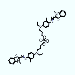 CCN(CCCOS(=O)(=O)OCCCN(CC)c1ccc(/N=N/c2sc3ccccc3[n+]2C)c(C)c1)c1ccc(/N=N/c2sc3ccccc3[n+]2C)c(C)c1